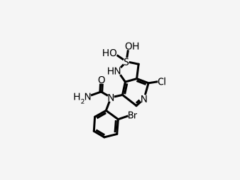 NC(=O)N(c1ccccc1Br)c1cnc(Cl)c2c1NS(O)(O)C2